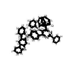 c1ccc(-c2nc(-c3ccccc3)c3c(n2)-c2ccc(-n4c5ccccc5c5cc6c(cc54)sc4ccccc46)cc2[Si]3(c2ccccc2)c2ccccc2)cc1